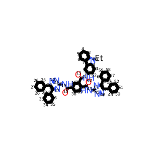 CCn1c2ccccc2c2cc(NC(=O)c3cc(C(=O)Nc4nnc(-c5ccccc5)c(-c5ccccc5)n4)ccc3C(=O)Nc3nnc(-c4ccccc4)c(-c4ccccc4)n3)ccc21